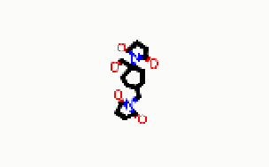 O=CC1(N2C(=O)CCC2=O)CCC(CN2C(=O)C=CC2=O)CC1